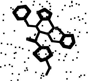 COc1ccc(C(=O)C2C(Cc3ccccc3)c3sccc3CN2Cc2ccccc2Cl)cc1